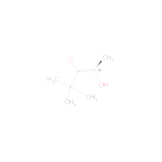 C[C@@H](O)C(=O)C(C)(C)C